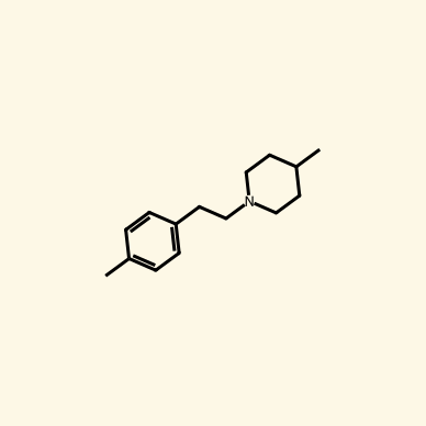 Cc1ccc(CCN2CCC(C)CC2)cc1